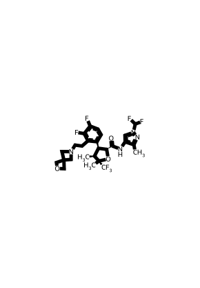 Cc1nn(C(F)F)cc1NC(=O)[C@@H]1O[C@@](C)(C(F)(F)F)[C@@H](C)[C@H]1c1ccc(F)c(F)c1CCN1CC2(COC2)C1